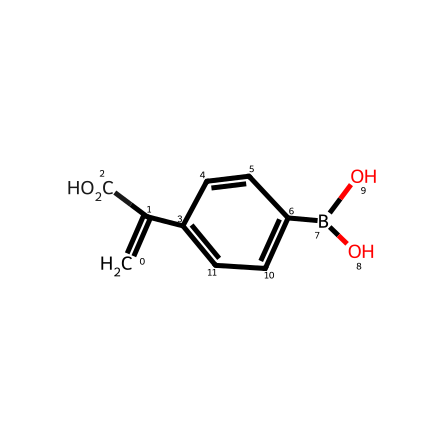 C=C(C(=O)O)c1ccc(B(O)O)cc1